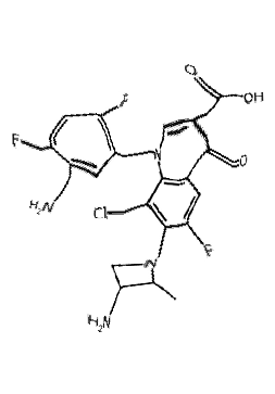 CC1C(N)CN1c1c(F)cc2c(=O)c(C(=O)O)cn(-c3cc(N)c(F)cc3F)c2c1Cl